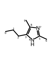 CCCc1[nH]c(C)nc1C